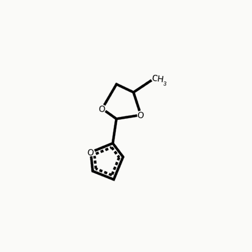 CC1COC(c2ccco2)O1